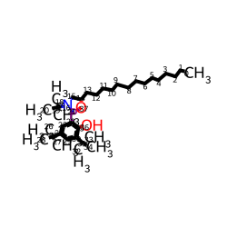 CCCCCCCCCCCCCCC1CN(C(C)(C)C)P(c2cc(C(C)(C)C)cc(C(C)(C)C)c2O)O1